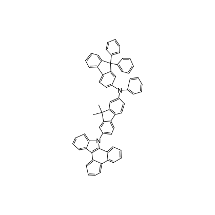 CC1(C)c2cc(N(c3ccccc3)c3ccc4c(c3)C(c3ccccc3)(c3ccccc3)c3ccccc3-4)ccc2-c2ccc(-n3c4ccccc4c4c5ccccc5c5ccccc5c43)cc21